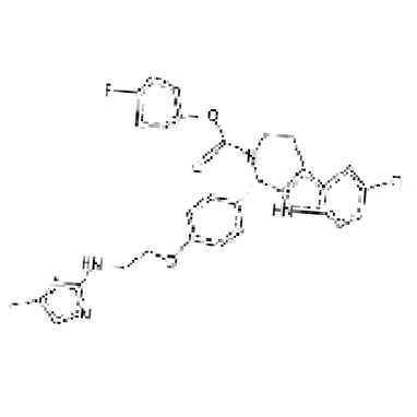 Cc1cnc(NCCOc2ccc([C@H]3c4[nH]c5ccc(Cl)cc5c4CCN3C(=O)Oc3ccc(F)cc3)cc2)s1